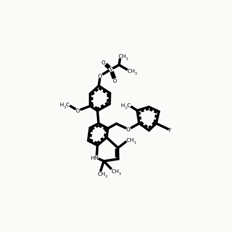 COc1cc(OS(=O)(=O)C(C)C)ccc1-c1ccc2c(c1COc1cc(F)ccc1C)C(C)=CC(C)(C)N2